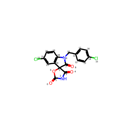 O=C1NC(=O)C2(O1)C(=O)N(Cc1ccc(Cl)cc1)c1ccc(Cl)cc12